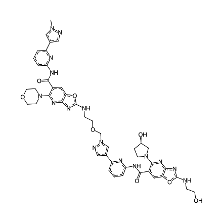 Cn1cc(-c2cccc(NC(=O)c3cc4oc(NCCOCn5cc(-c6cccc(NC(=O)c7cc8oc(NCCO)nc8nc7N7CC[C@@H](O)C7)n6)cn5)nc4nc3N3CCOCC3)n2)cn1